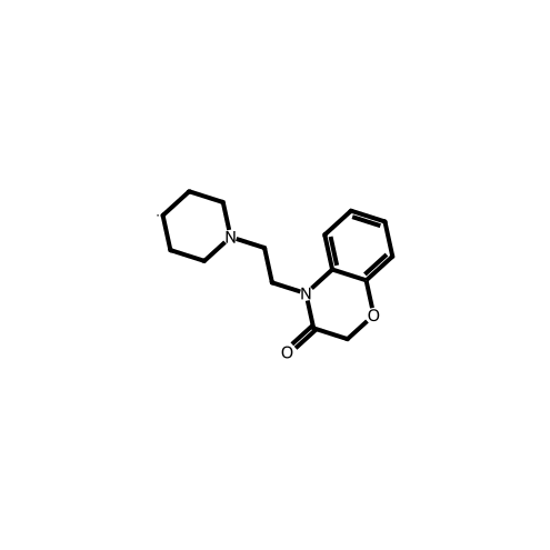 O=C1COc2ccccc2N1CCN1CC[CH]CC1